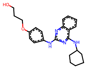 OCCCOc1ccc(Nc2nc(NC3CCCCC3)c3ccccc3n2)cc1